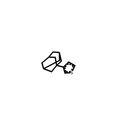 c1cc(C23CC4CC(CC(C4)C2)C3)cs1